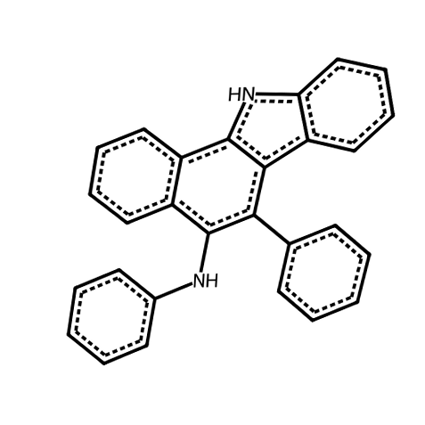 c1ccc(Nc2c(-c3ccccc3)c3c4ccccc4[nH]c3c3ccccc23)cc1